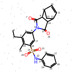 CCc1cc(N2C(=O)C3C4C=CC(C4)C3C2=O)cc(S(=O)(=O)Nc2ccccc2)c1C